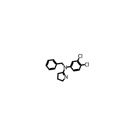 Clc1ccc(N(Cc2ccccc2)C2=NCCC2)cc1Cl